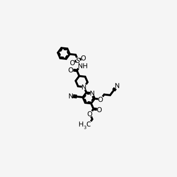 CCOC(=O)c1cc(C#N)c(N2CCC(C(=O)NS(=O)(=O)Cc3ccccc3)CC2)nc1OCCC#N